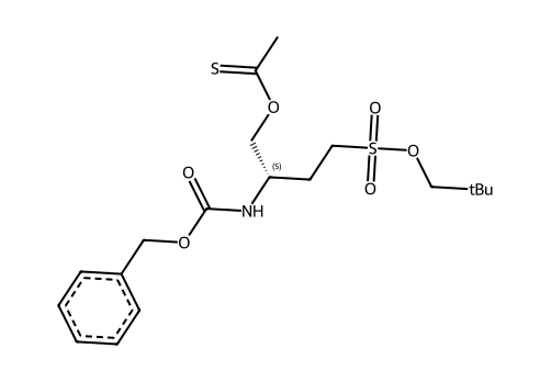 CC(=S)OC[C@H](CCS(=O)(=O)OCC(C)(C)C)NC(=O)OCc1ccccc1